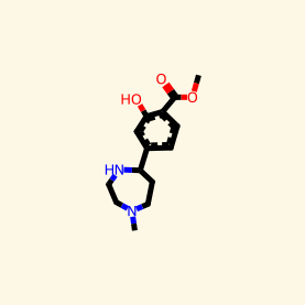 COC(=O)c1ccc(C2CCN(C)CCN2)cc1O